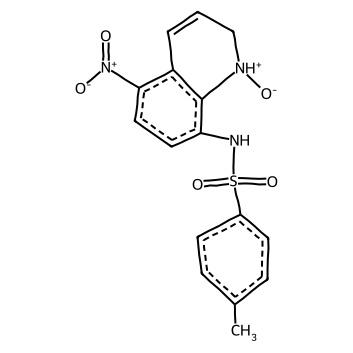 Cc1ccc(S(=O)(=O)Nc2ccc([N+](=O)[O-])c3c2[NH+]([O-])CC=C3)cc1